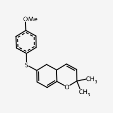 COc1ccc(SC2=CC=C3OC(C)(C)C=CC3C2)cc1